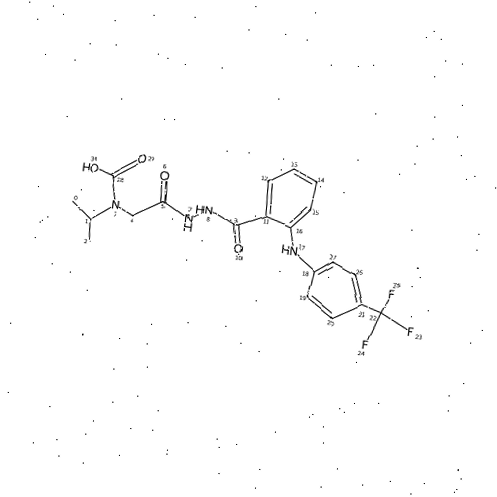 CC(C)N(CC(=O)NNC(=O)c1ccccc1Nc1ccc(C(F)(F)F)cc1)C(=O)O